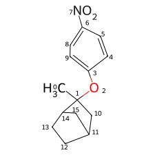 CC1(Oc2ccc([N+](=O)[O-])cc2)CC2CCC1C2